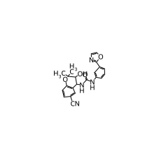 CC1(C)Oc2ccc(C#N)cc2C(NC(=O)Nc2cccc(-c3ncco3)c2)C1O